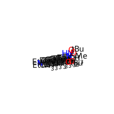 CCN(CC)C(C)(CC)C(C)(CC)C(C)(CC)C(C)(CC)C(C)(CC)C(C)(CC)C(C)(CC)C(C)(CC)C(C)(CC)C(C)(CC)C(C)(CC)C(C)(CC)C(C)(CC)C(C)(CC)C(C)(/N=C(/NC(=O)OC(C)(C)C)SC)C(=O)OC(C)(C)C